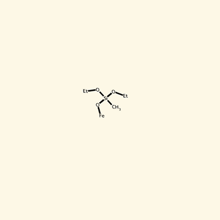 CCO[Si](C)([O][Fe])OCC